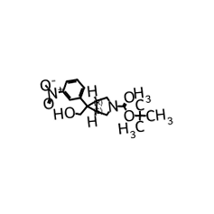 CC(C)(C)OC(=O)N1C[C@@H]2[C@H](C1)C2(CO)c1cccc([N+](=O)[O-])c1